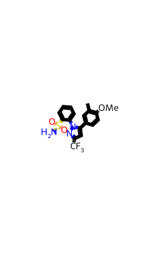 COc1ccc(-c2cc(C(F)(F)F)nn2-c2ccccc2S(N)(=O)=O)cc1C